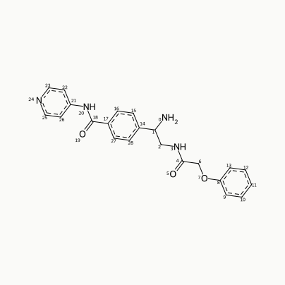 NC(CNC(=O)COc1ccccc1)c1ccc(C(=O)Nc2ccncc2)cc1